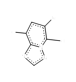 Clc1cc(Br)c(Cl)n2ncnc12